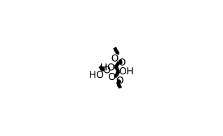 CC(=O)O.CCOC(=O)C(O)C(O)C(=O)OCC